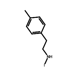 Cc1ccc(CCNI)cc1